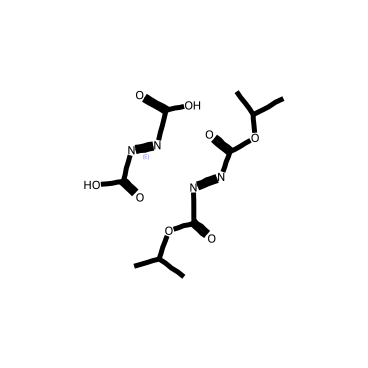 CC(C)OC(=O)N=NC(=O)OC(C)C.O=C(O)/N=N/C(=O)O